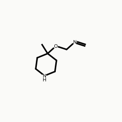 C=NCOC1(C)CCNCC1